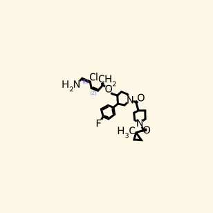 C=C(/C=C\C(Cl)=C/N)OCC1CCN(C(=O)C2CCN(C(=O)C3(C)CC3)CC2)CC1c1ccc(F)cc1